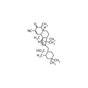 CC(=O)/C=C1/[C@@]2(C)C=C(C#N)C(=O)[C@@H](C)[C@@H]2CC[C@@]1(C)C(C)(C)CC[C@@]1(C(=O)O)CCC(C)(C)CC1C